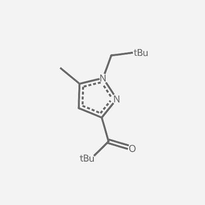 Cc1cc(C(=O)C(C)(C)C)nn1CC(C)(C)C